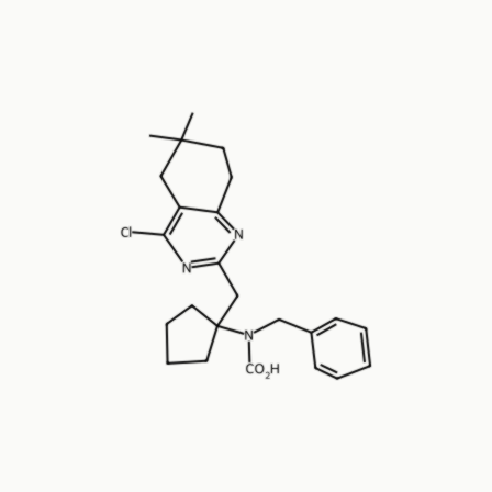 CC1(C)CCc2nc(CC3(N(Cc4ccccc4)C(=O)O)CCCC3)nc(Cl)c2C1